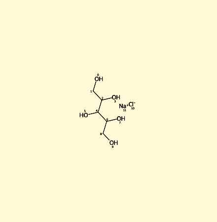 OCC(O)C(O)C(O)CO.[Cl-].[Na+]